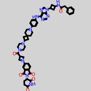 O=C1CC[C@H](N2C(=O)c3ccc(N4CC(C(=O)N5CCN(C6CC7(CCN(c8ccc(Nc9ncnc%10c9ncn%10C9CC(NC(=O)Cc%10ccccc%10)C9)cc8)CC7)C6)CC5)C4)cc3C2=O)C(=O)N1